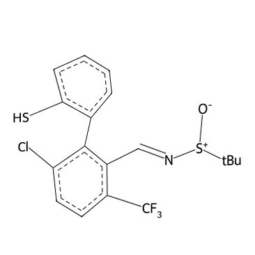 CC(C)(C)[S+]([O-])/N=C/c1c(C(F)(F)F)ccc(Cl)c1-c1ccccc1S